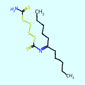 CCCCCC(CCCCC)=NC(=S)SSSSC(N)=S